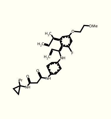 C=C/C(C)=c1/cc(OCCOC)cc(F)/c1=C(/C=C)Nc1ccc(NC(=O)CC(=O)NC2(C(C)C)CC2)cc1